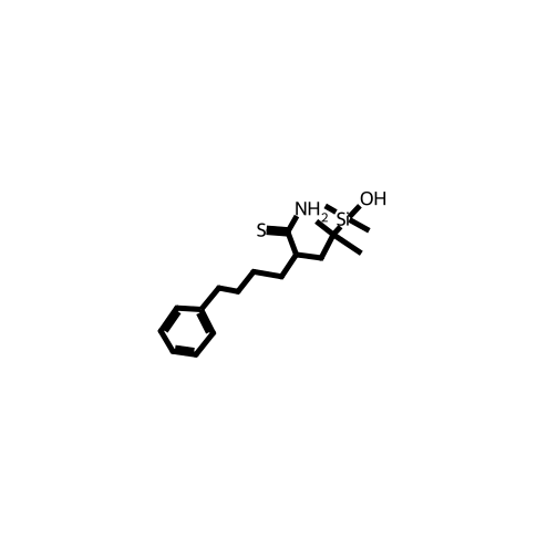 CC(C)(CC(CCCCc1ccccc1)C(N)=S)[Si](C)(C)O